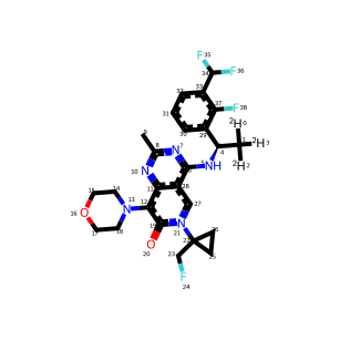 [2H]C([2H])([2H])[C@@H](Nc1nc(C)nc2c(N3CCOCC3)c(=O)n(C3(CF)CC3)cc12)c1cccc(C(F)F)c1F